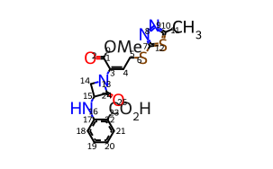 COC(=O)C(=CCSc1nnc(C)s1)N1CC(Nc2ccccc2C(=O)O)C1=O